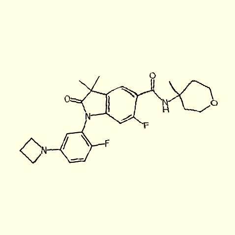 CC1(NC(=O)c2cc3c(cc2F)N(c2cc(N4CCC4)ccc2F)C(=O)C3(C)C)CCOCC1